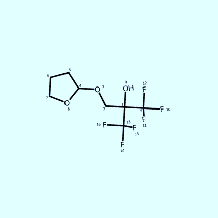 OC(COC1CCCO1)(C(F)(F)F)C(F)(F)F